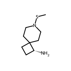 CSN1CCC2(CC[C@H]2N)CC1